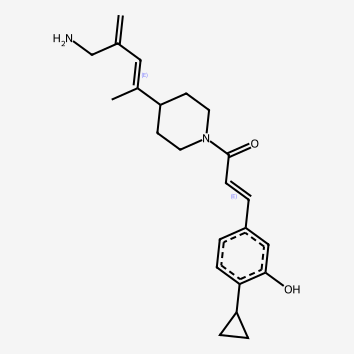 C=C(/C=C(\C)C1CCN(C(=O)/C=C/c2ccc(C3CC3)c(O)c2)CC1)CN